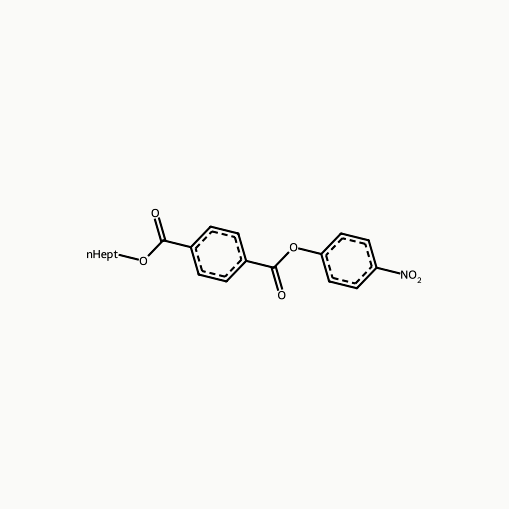 CCCCCCCOC(=O)c1ccc(C(=O)Oc2ccc([N+](=O)[O-])cc2)cc1